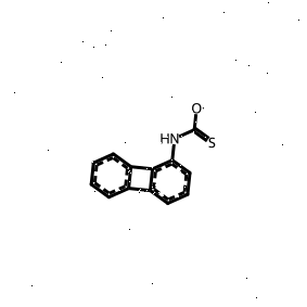 [O]C(=S)Nc1cccc2c1-c1ccccc1-2